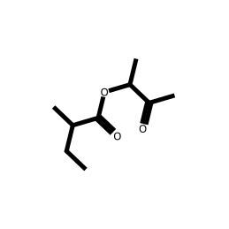 CCC(C)C(=O)OC(C)C(C)=O